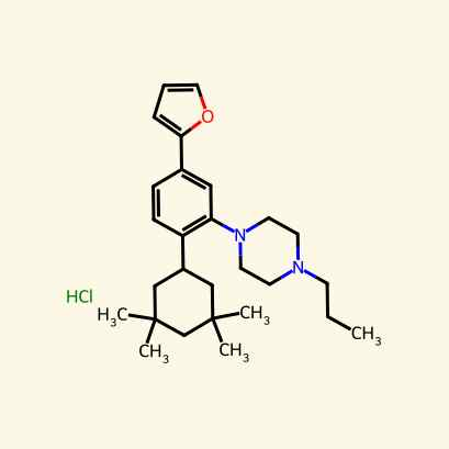 CCCN1CCN(c2cc(-c3ccco3)ccc2C2CC(C)(C)CC(C)(C)C2)CC1.Cl